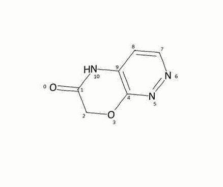 O=C1COc2nnccc2N1